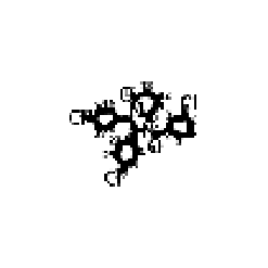 O=C(c1cccc(Cl)c1)N1c2cccc(=O)n2C(c2ccc(Cl)cc2)C1c1ccc(Cl)cc1